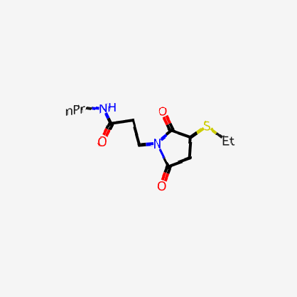 CCCNC(=O)CCN1C(=O)CC(SCC)C1=O